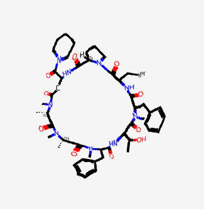 CC(C)CC1NC(=O)C(Cc2ccccc2)N(C)C(=O)C(C(C)O)NC(=O)C(Cc2ccccc2)N(C)C(=O)[C@H](C)N(C)C(=O)[C@H](C)N(C)C(=O)CC(C(=O)N2CCCCC2)NC(=O)[C@@H]2CCCN2C1=O